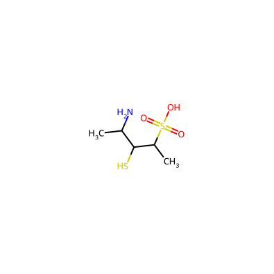 CC(N)C(S)C(C)S(=O)(=O)O